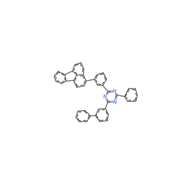 c1ccc(-c2cccc(-c3nc(-c4ccccc4)nc(-c4cccc(-c5ccc6c7c(cccc57)-c5ccccc5-6)c4)n3)c2)cc1